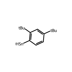 CC(C)(C)c1cc[c]([SnH])c(C(C)(C)C)c1